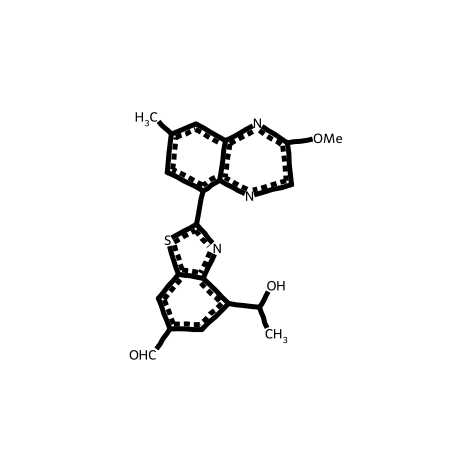 COc1cnc2c(-c3nc4c(C(C)O)cc(C=O)cc4s3)cc(C)cc2n1